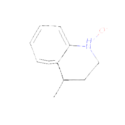 CC1CC[NH+]([O-])c2ccccc21